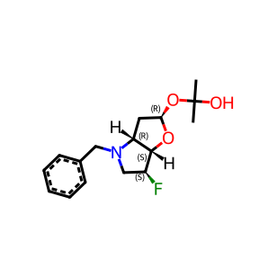 CC(C)(O)O[C@@H]1C[C@@H]2[C@H](O1)[C@@H](F)CN2Cc1ccccc1